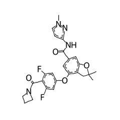 Cn1ccc(NC(=O)c2cc(Oc3cc(F)c(C(=O)N4CCC4)c(F)c3)c3c(c2)OC(C)(C)C3)n1